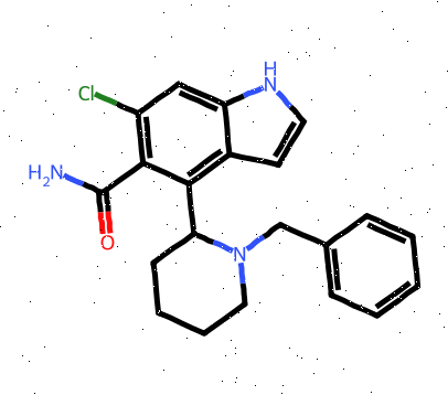 NC(=O)c1c(Cl)cc2[nH]ccc2c1C1CCCCN1Cc1ccccc1